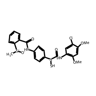 COc1cc(OC)c(NC(=O)N(S)c2ccc(NC(=O)c3ccccc3[S+](C)[O-])cc2)cc1Cl